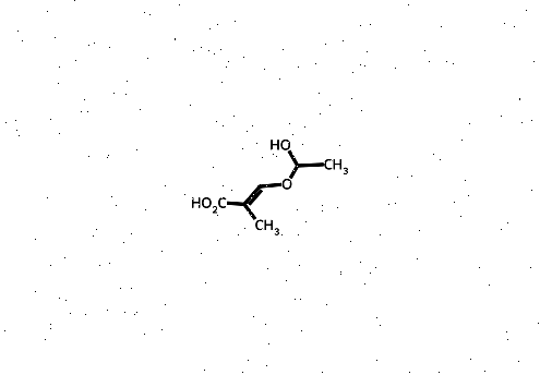 CC(=COC(C)O)C(=O)O